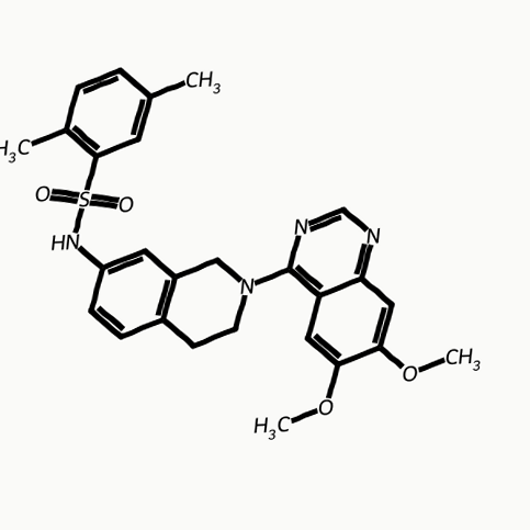 COc1cc2ncnc(N3CCc4ccc(NS(=O)(=O)c5cc(C)ccc5C)cc4C3)c2cc1OC